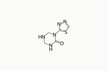 O=C1NCNCN1c1nncs1